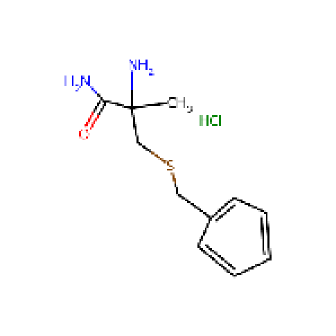 CC(N)(CSCc1ccccc1)C(N)=O.Cl